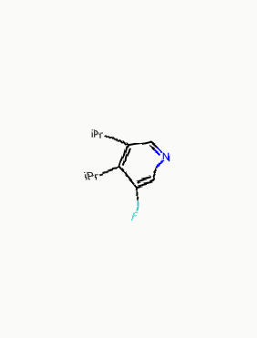 CC(C)c1cncc(F)c1C(C)C